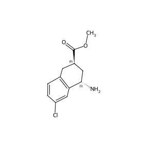 COC(=O)[C@@H]1Cc2ccc(Cl)cc2[C@@H](N)C1